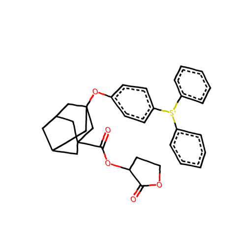 O=C1OCCC1OC(=O)C12CC3CC(CC(Oc4ccc([S+](c5ccccc5)c5ccccc5)cc4)(C3)C1)C2